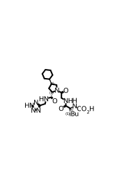 CC[C@H](C)[C@H](NC(=O)O)C(=O)NCC(=O)N1C[C@H](C2CCCCC2)C[C@H]1C(=O)NCc1nn[nH]n1